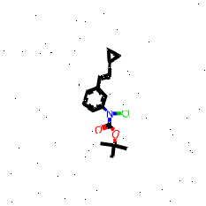 CC(C)(C)OC(=O)N(Cl)c1cccc(C=CC2CC2)c1